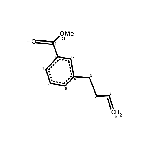 C=CC[CH]c1cccc(C(=O)OC)c1